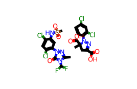 CC1(C(=O)O)CC(C(=O)O)=NN1c1ccc(Cl)cc1Cl.Cc1nn(-c2cc(NS(C)(=O)=O)c(Cl)cc2Cl)c(=O)n1C(F)F